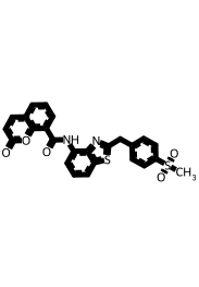 CS(=O)(=O)c1ccc(Cc2nc3c(NC(=O)c4cccc5ccc(=O)oc45)cccc3s2)cc1